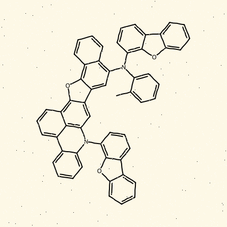 Cc1ccccc1N(c1cc2c3cc4c5c(cccc5c3oc2c2ccccc12)-c1ccccc1N4c1cccc2c1oc1ccccc12)c1cccc2c1oc1ccccc12